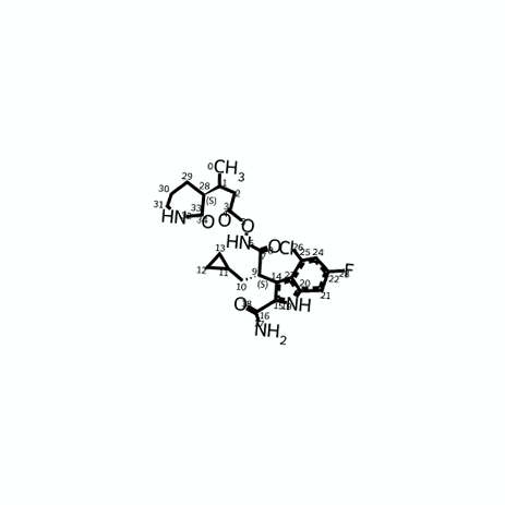 CC(CC(=O)ONC(=O)[C@@H](CC1CC1)c1c(C(N)=O)[nH]c2cc(F)cc(Cl)c12)[C@@H]1CCCNC1=O